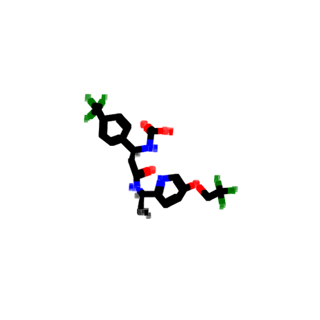 C[C@@H](NC(=O)C[C@H](NC(=O)O)c1ccc(C(F)(F)F)cc1)c1ccc(OCC(F)(F)F)cn1